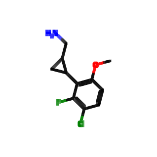 COc1ccc(Cl)c(F)c1C1CC1CN